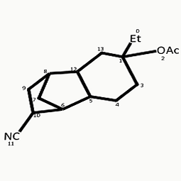 CCC1(OC(C)=O)CCC2C3CC(CC3C#N)C2C1